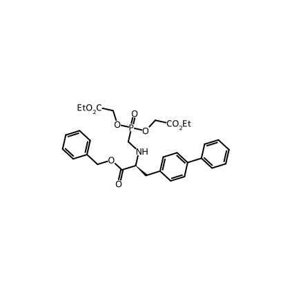 CCOC(=O)COP(=O)(CN[C@@H](Cc1ccc(-c2ccccc2)cc1)C(=O)OCc1ccccc1)OCC(=O)OCC